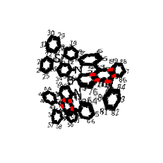 c1ccc(-c2ccccc2N2c3cc([Si](c4ccccc4)(c4ccccc4)c4ccccc4)ccc3B3c4ccc([Si](c5ccccc5)(c5ccccc5)c5ccccc5)cc4N(c4ccccc4-c4ccccc4)c4cc(N(c5ccccc5)c5ccccc5)cc2c43)cc1